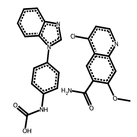 COc1cc2nccc(Cl)c2cc1C(N)=O.O=C(O)Nc1ccc(-n2cnc3ccccc32)cc1